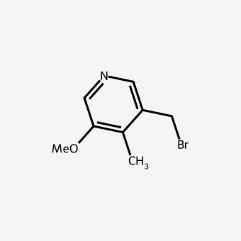 COc1cncc(CBr)c1C